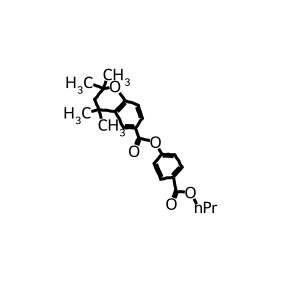 CCCOC(=O)c1ccc(OC(=O)c2ccc3c(c2)C(C)(C)CC(C)(C)O3)cc1